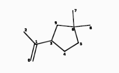 C=C(C)C1CCC(C)(C)C1